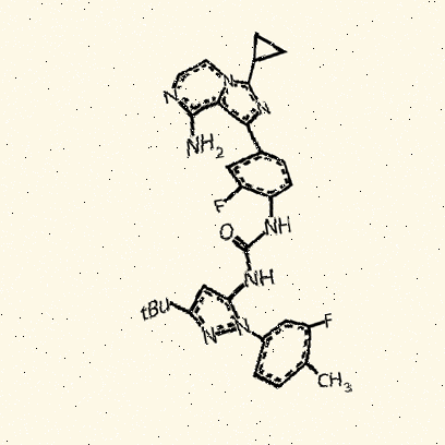 Cc1ccc(-n2nc(C(C)(C)C)cc2NC(=O)Nc2ccc(-c3nc(C4CC4)n4ccnc(N)c34)cc2F)cc1F